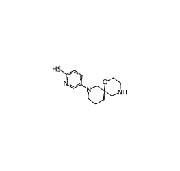 Sc1ccc(N2CCC[C@@]3(CNCCO3)C2)cn1